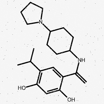 C=C(NC1CCC(N2CCCC2)CC1)c1cc(C(C)C)c(O)cc1O